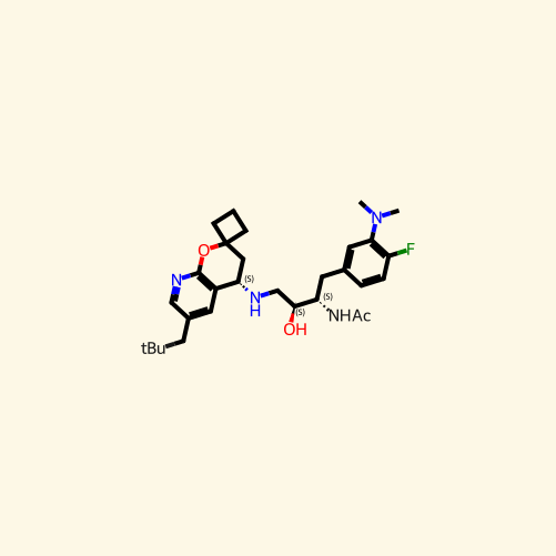 CC(=O)N[C@@H](Cc1ccc(F)c(N(C)C)c1)[C@@H](O)CN[C@H]1CC2(CCC2)Oc2ncc(CC(C)(C)C)cc21